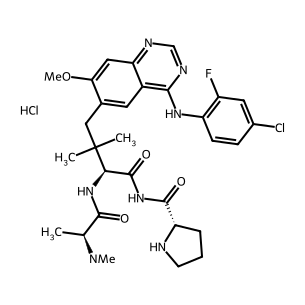 CN[C@@H](C)C(=O)N[C@H](C(=O)NC(=O)[C@@H]1CCCN1)C(C)(C)Cc1cc2c(Nc3ccc(Cl)cc3F)ncnc2cc1OC.Cl